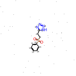 O=S(=O)(CCc1nnn[nH]1)c1ccccc1